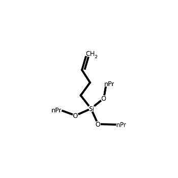 C=CCC[Si](OCCC)(OCCC)OCCC